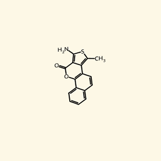 Cc1sc(N)c2c(=O)oc3c4ccccc4ccc3c12